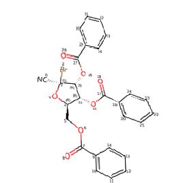 N#C[C@@]1(Br)O[C@H](COC(=O)c2ccccc2)[C@@H](OC(=O)c2ccccc2)[C@H]1OC(=O)c1ccccc1